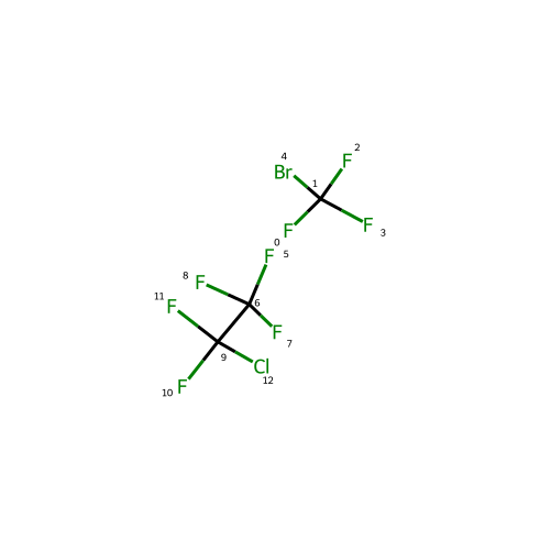 FC(F)(F)Br.FC(F)(F)C(F)(F)Cl